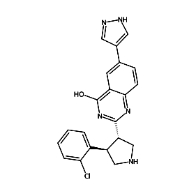 Oc1nc([C@@H]2CNC[C@H]2c2ccccc2Cl)nc2ccc(-c3cn[nH]c3)cc12